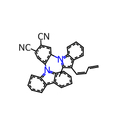 C=C/C=C\c1c(C)n(-c2cc(C#N)c(C#N)cc2-n2c3ccccc3c3ccccc32)c2ccccc12